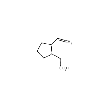 C=CC1CCCN1CC(=O)O